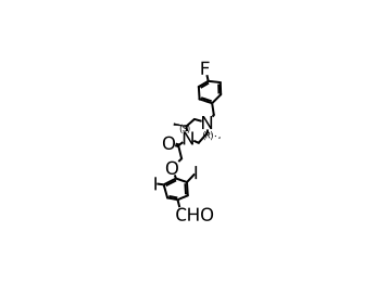 C[C@@H]1CN(C(=O)COc2c(I)cc(C=O)cc2I)[C@@H](C)CN1Cc1ccc(F)cc1